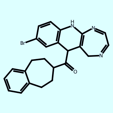 O=C(C1CCc2ccccc2CC1)C1C2=C(N=CC=NC2)Nc2ccc(Br)cc21